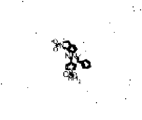 COC(=O)N1CCc2ccc3c(nc(C4CCN(S(N)(=O)=O)CC4)n3[C@H](C)Cc3ccccc3)c2C1